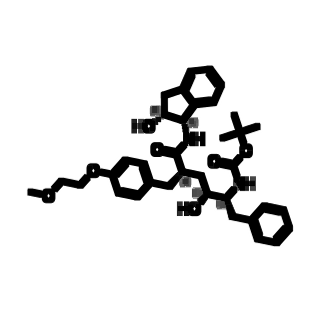 COCCOc1ccc(C[C@H](C[C@H](O)[C@H](Cc2ccccc2)NC(=O)OC(C)(C)C)C(=O)N[C@H]2c3ccccc3C[C@H]2O)cc1